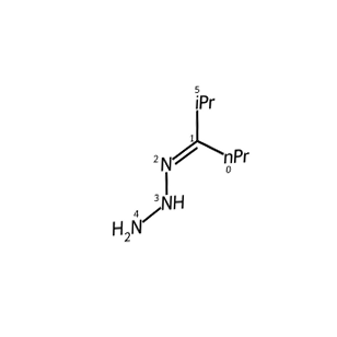 CCC/C(=N\NN)C(C)C